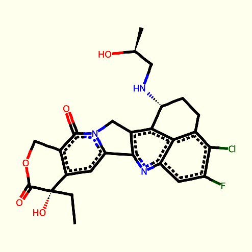 CC[C@@]1(O)C(=O)OCc2c1cc1n(c2=O)Cc2c-1nc1cc(F)c(Cl)c3c1c2[C@H](NC[C@H](C)O)CC3